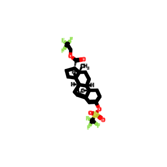 C[C@]12CC[C@H]3[C@@H](CC=C4C=C(OS(=O)(=O)C(F)(F)F)CC[C@@]43C)[C@@H]1CC[C@@H]2C(=O)OCC(F)(F)F